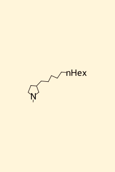 CCCCCCCCCCCC1CCN(C)C1